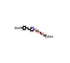 CNc1ccc(/C=C/c2ccc(OCCOCCOCCOC)nc2)cc1